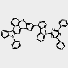 c1ccc(-c2nc(-c3ccccc3)nc(-n3c4ccccc4c4c(-c5ccc6c(c5)Sc5cccc7c5c-6cc5c7c6ccccc6n5-c5ccccc5)cccc43)n2)cc1